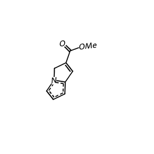 COC(=O)C1=Cc2cccn2C1